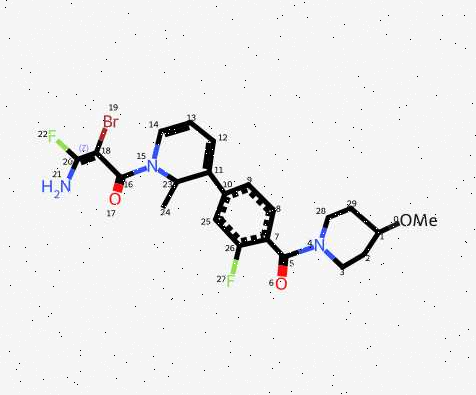 COC1CCN(C(=O)c2ccc(C3=CC=CN(C(=O)/C(Br)=C(\N)F)C3C)cc2F)CC1